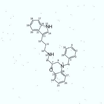 c1ccc(CN2CC(CNCCCc3c[nH]c4ccccc34)Oc3ccccc32)cc1